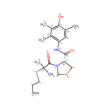 CCCCCCCCCCCCSC(C)(C)C(=O)N1CSC[C@H]1C(=O)Nc1cc(C)c(O)c(C)c1C